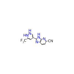 N#Cc1ccc2nc(C3=CNNC(C(F)(F)F)=C3)[nH]c2n1